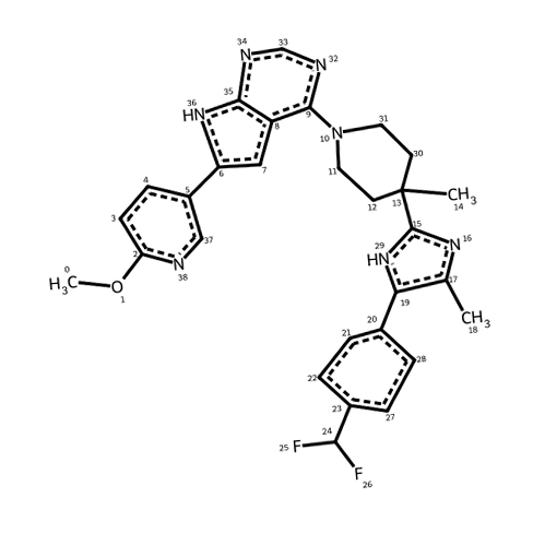 COc1ccc(-c2cc3c(N4CCC(C)(c5nc(C)c(-c6ccc(C(F)F)cc6)[nH]5)CC4)ncnc3[nH]2)cn1